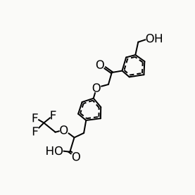 O=C(COc1ccc(CC(OCC(F)(F)F)C(=O)O)cc1)c1cccc(CO)c1